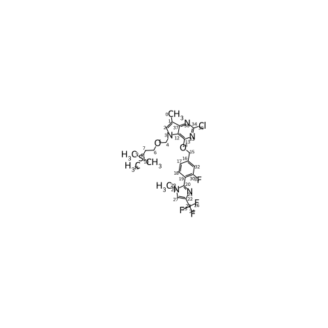 Cc1cn(COCC[Si](C)(C)C)c2c(OCc3ccc(-c4nc(C(F)(F)F)cn4C)c(F)c3)nc(Cl)nc12